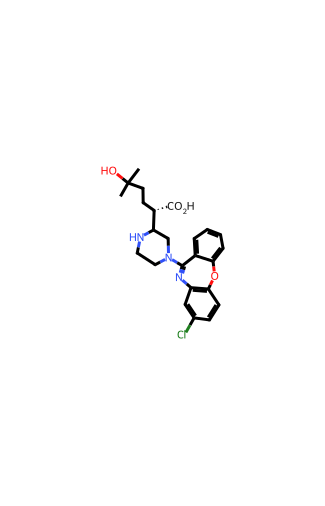 CC(C)(O)CC[C@H](C(=O)O)C1CN(C2=Nc3cc(Cl)ccc3Oc3ccccc32)CCN1